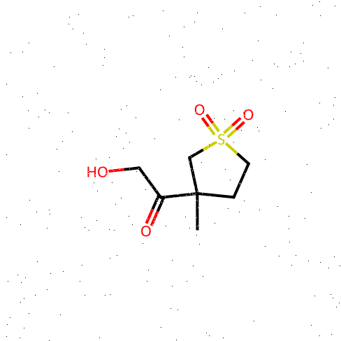 CC1(C(=O)CO)CCS(=O)(=O)C1